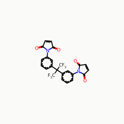 O=C1C=CC(=O)N1c1cccc(C(c2cccc(N3C(=O)C=CC3=O)c2)(C(F)(F)F)C(F)(F)F)c1